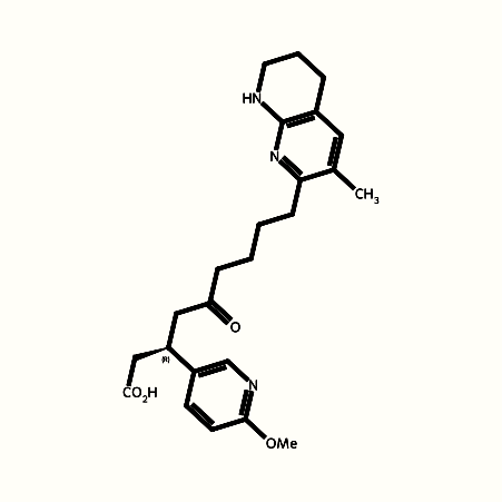 COc1ccc([C@@H](CC(=O)O)CC(=O)CCCCc2nc3c(cc2C)CCCN3)cn1